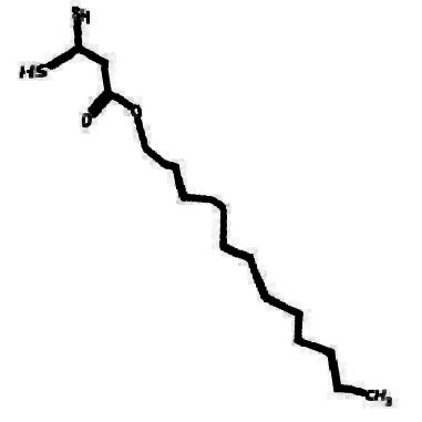 CCCCCCCCCCCCOC(=O)CC(S)S